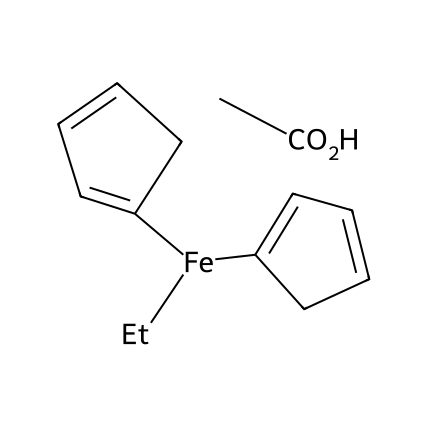 CC(=O)O.C[CH2][Fe]([C]1=CC=CC1)[C]1=CC=CC1